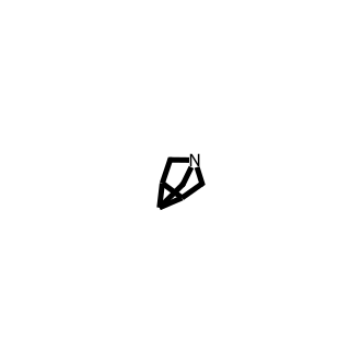 C1C2C3CN1CC23